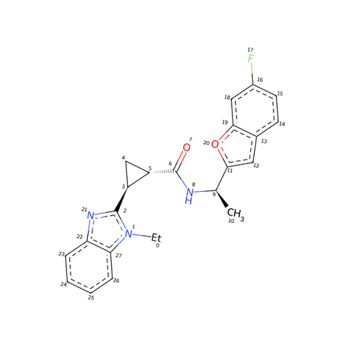 CCn1c([C@H]2C[C@@H]2C(=O)N[C@H](C)c2cc3ccc(F)cc3o2)nc2ccccc21